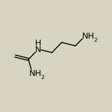 C=C(N)NCCCN